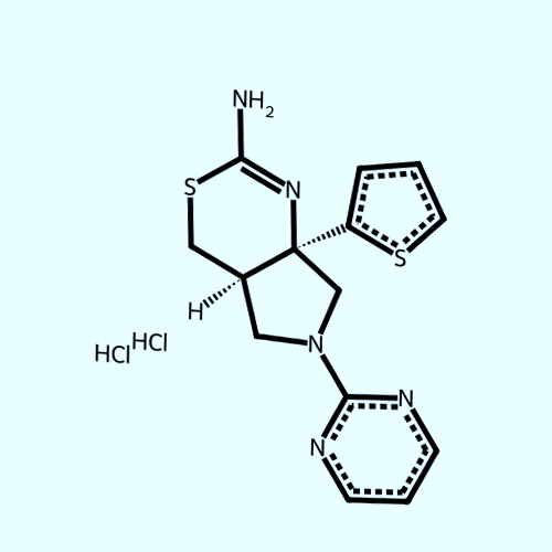 Cl.Cl.NC1=N[C@@]2(c3cccs3)CN(c3ncccn3)C[C@H]2CS1